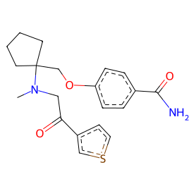 CN(CC(=O)c1ccsc1)C1(COc2ccc(C(N)=O)cc2)CCCC1